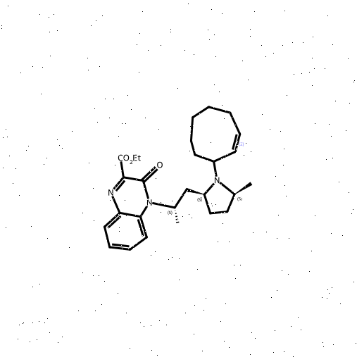 CCOC(=O)c1nc2ccccc2n([C@@H](C)C[C@@H]2CC[C@H](C)N2C2/C=C\CCCCC2)c1=O